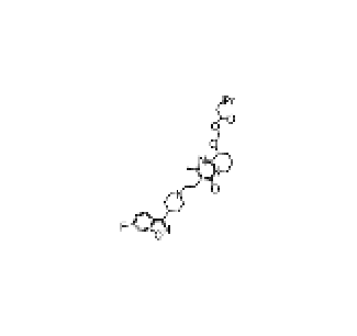 Cc1nc2n(c(=O)c1CCN1CCC(c3noc4cc(F)ccc34)CC1)CCCC2OCOC(=O)CC(C)C